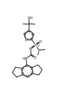 CN(C)[S@@](=O)(=NC(=O)Nc1c2c(cc3c1CCC3)CCC2)c1cc(C(C)(C)O)cs1